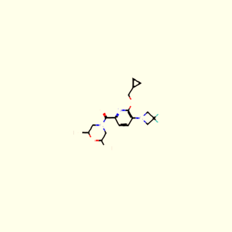 CC1CN(C(=O)c2ccc(N3CC(F)(F)C3)c(OCC3CC3)n2)CC(C)O1